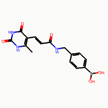 Cc1[nH]c(=O)[nH]c(=O)c1/C=C/C(=O)NCc1ccc(B(O)O)cc1